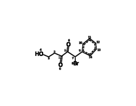 O=C(CCO)C(=O)C(Br)c1ccccc1